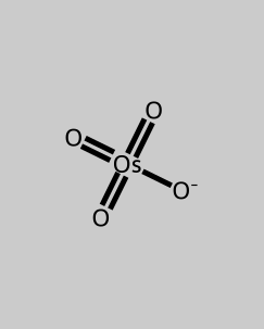 [O]=[Os](=[O])(=[O])[O-]